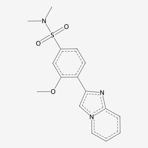 COc1cc(S(=O)(=O)N(C)C)ccc1-c1cn2ccccc2n1